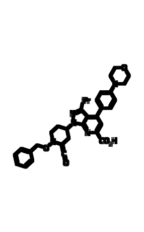 CC(C)c1nn(C2CCN(OCc3ccccc3)C(=C=O)C2)c2nc(C(=O)O)cc(-c3ccc(N4CCOCC4)cc3)c12